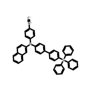 [C-]#[N+]c1ccc(N(c2ccc(-c3ccc([Si](c4ccccc4)(c4ccccc4)c4ccccc4)cc3)cc2)c2ccc3ccccc3c2)cc1